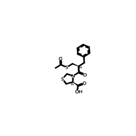 CC(=O)SC[C@@H](Cc1ccccc1)C(=O)N1CSC[C@@H]1C(=O)O